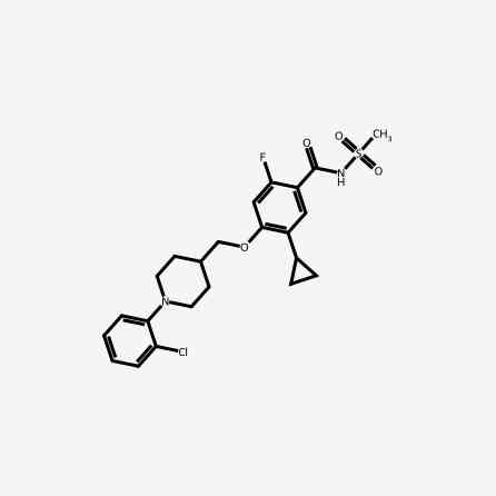 CS(=O)(=O)NC(=O)c1cc(C2CC2)c(OCC2CCN(c3ccccc3Cl)CC2)cc1F